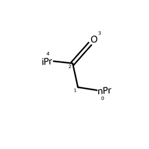 CCCCC(=O)C(C)C